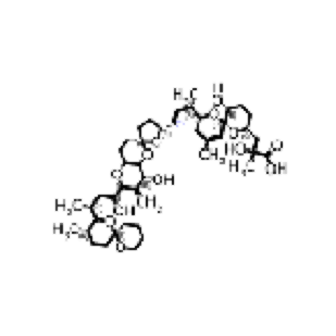 C=C1[C@@H](O)C2O[C@@]3(CCC2O[C@@H]1[C@@H](O)C[C@H](C)C1O[C@@]2(CCCCO2)CC[C@H]1C)CC[C@H](/C=C/[C@@H](C)[C@@H]1CC(C)=C[C@@]2(O[C@H](CC(C)(O)C(=O)O)CC[C@H]2O)O1)O3